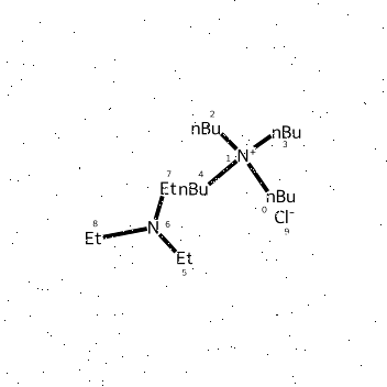 CCCC[N+](CCCC)(CCCC)CCCC.CCN(CC)CC.[Cl-]